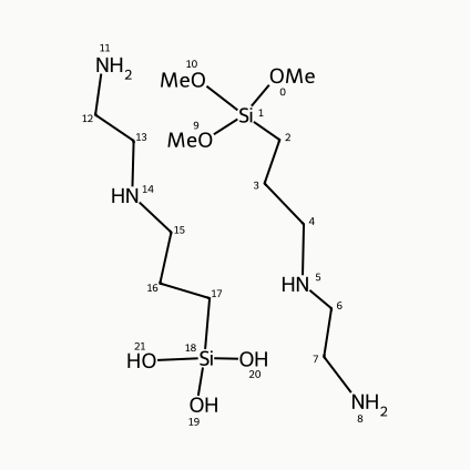 CO[Si](CCCNCCN)(OC)OC.NCCNCCC[Si](O)(O)O